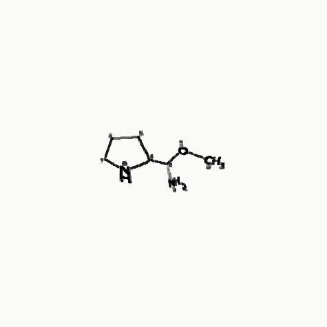 CO[C@H](N)C1CCCN1